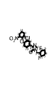 O=c1n(Cc2c(F)cccc2F)cnn1-c1ccc(Oc2c(Cl)cccc2[N+](=O)[O-])cc1